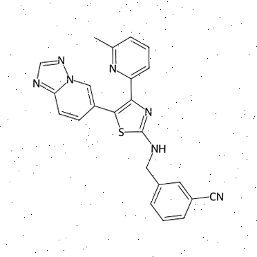 Cc1cccc(-c2nc(NCc3cccc(C#N)c3)sc2-c2ccc3ncnn3c2)n1